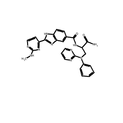 CNc1nccc(-c2nc3cc(C(=O)NC(CN(c4ccccc4)c4ncccn4)C(N)=O)ccc3[nH]2)n1